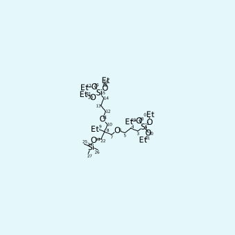 CCO[Si](CCCOCC(CC)(COCCC[Si](OCC)(OCC)OCC)CO[Si](C)(C)C)(OCC)OCC